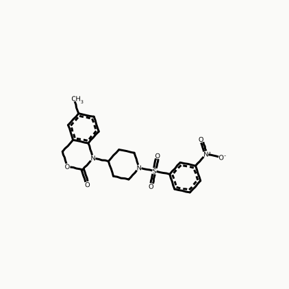 Cc1ccc2c(c1)COC(=O)N2C1CCN(S(=O)(=O)c2cccc([N+](=O)[O-])c2)CC1